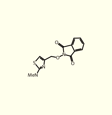 CNc1nc(CON2C(=O)c3ccccc3C2=O)cs1